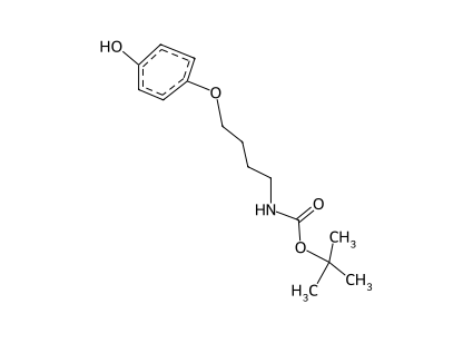 CC(C)(C)OC(=O)NCCCCOc1ccc(O)cc1